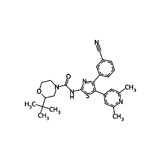 Cc1cc(-c2sc(NC(=O)N3CCOC(C(C)(C)C)C3)nc2-c2cccc(C#N)c2)cc(C)n1